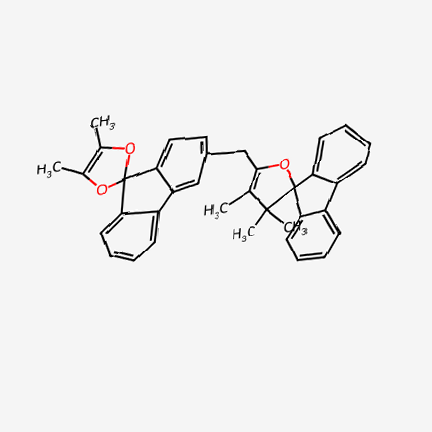 CC1=C(C)OC2(O1)c1ccccc1-c1cc(CC3=C(C)C(C)(C)C4(O3)c3ccccc3-c3ccccc34)ccc12